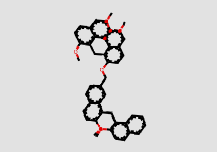 COc1ccc2ccc(OC)c(Cc3c(OCc4ccc5ccc(OC)c(Cc6c(OC)ccc7ccccc67)c5c4)ccc4ccc(OC)cc34)c2c1